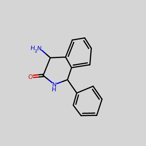 NC1C(=O)NC(c2ccccc2)c2ccccc21